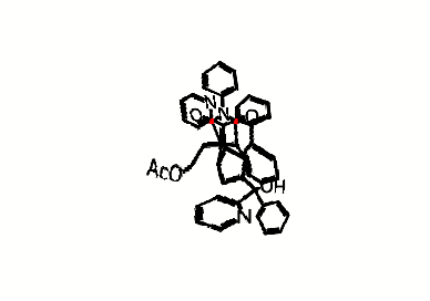 CC(=O)OCCC12C(=O)N(c3ccccc3)C(=O)C1C1C(C(O)(c3ccccc3)c3ccccn3)=CC2C1=C(c1ccccn1)c1ccccc1-c1ccccc1